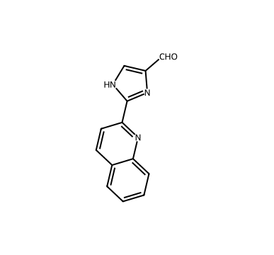 O=Cc1c[nH]c(-c2ccc3ccccc3n2)n1